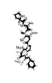 CC[C@H](C)[C@@H]([C@@H](CC(=O)N1CCC[C@H]1[C@H](OC)[C@@H](C)C(=O)N[C@@H](Cc1ccccc1)C(=O)O)OC)N(C)C(=O)[C@@H](NC(=O)[C@]1(C)CCCN1)C(C)C